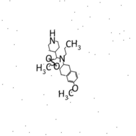 CCCN(C1CCc2cc(OC)ccc2C1)C(C1CCNCC1)S(C)(=O)=O